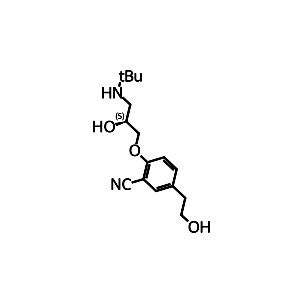 CC(C)(C)NC[C@H](O)COc1ccc(CCO)cc1C#N